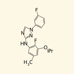 Cc1cc(Nc2ncn(-c3cccc(F)c3)n2)c(F)c(OC(C)C)c1